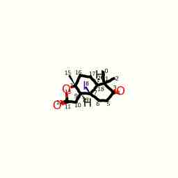 CC1(C)C(=O)CC[C@]2(I)[C@H]3CC(=O)O[C@]3(C)CC[C@@H]12